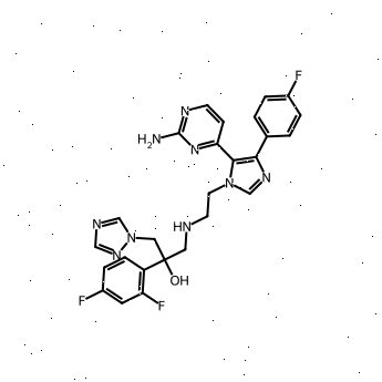 Nc1nccc(-c2c(-c3ccc(F)cc3)ncn2CCNCC(O)(Cn2cncn2)c2ccc(F)cc2F)n1